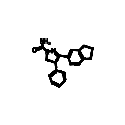 NC(=O)N1CC(c2ccccc2)C(c2ccc3c(c2)CCC3)=N1